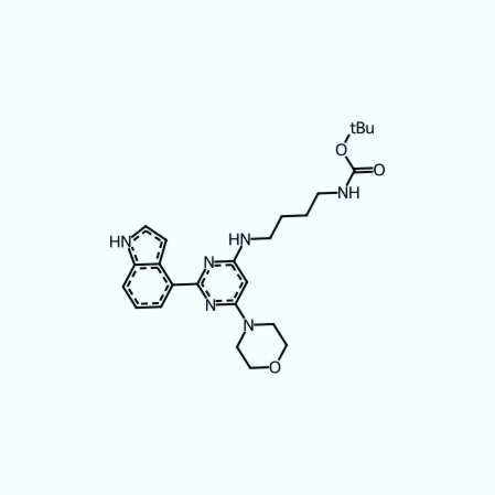 CC(C)(C)OC(=O)NCCCCNc1cc(N2CCOCC2)nc(-c2cccc3[nH]ccc23)n1